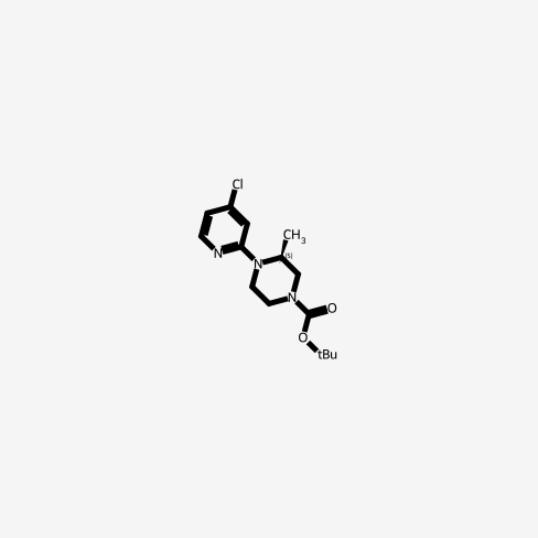 C[C@H]1CN(C(=O)OC(C)(C)C)CCN1c1cc(Cl)ccn1